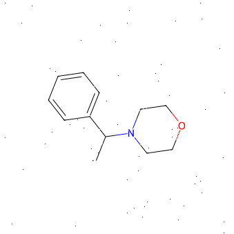 [CH2]C(c1ccccc1)N1CCOCC1